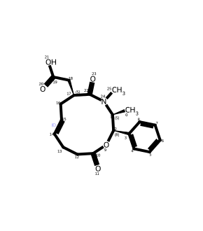 C[C@H]1[C@@H](c2ccccc2)OC(=O)CC/C=C/C[C@@H](CC(=O)O)C(=O)N1C